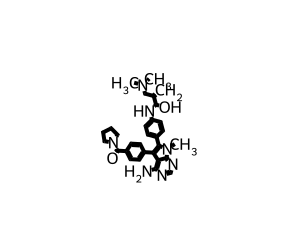 C=C(CN(C)C)C(O)Nc1ccc(-c2c(-c3ccc(C(=O)N4CCCC4)cc3)c3c(N)ncnc3n2C)cc1